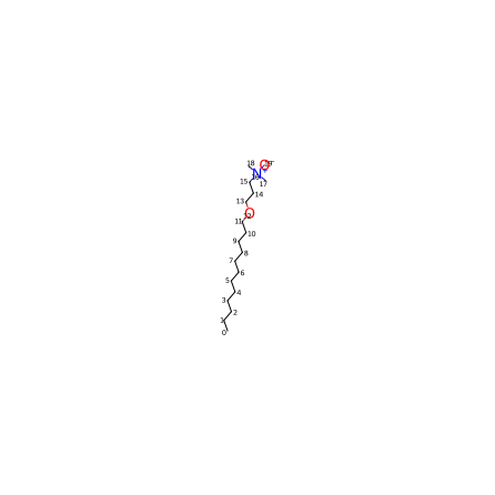 CCCCCCCCCCCCOCCC[N+](C)(C)[O-]